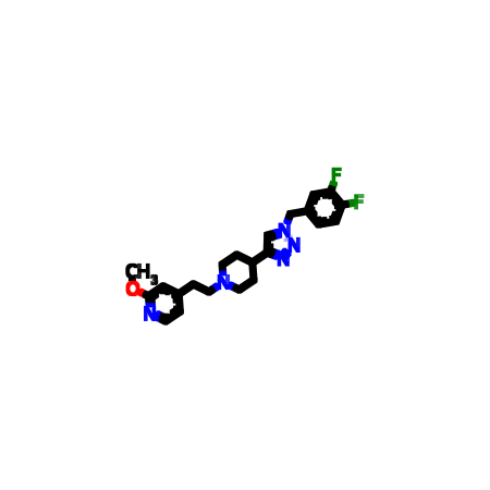 COc1cc(CCN2CCC(c3cn(Cc4ccc(F)c(F)c4)nn3)CC2)ccn1